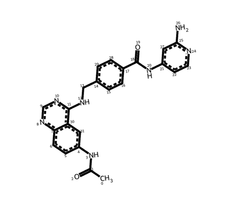 CC(=O)Nc1ccc2ncnc(NCc3ccc(C(=O)Nc4ccnc(N)c4)cc3)c2c1